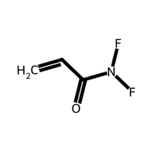 C=CC(=O)N(F)F